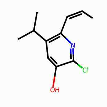 C/C=C\c1nc(Cl)c(O)cc1C(C)C